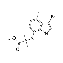 COC(=O)C(C)(C)Sc1ccc(C)n2c(Br)cnc12